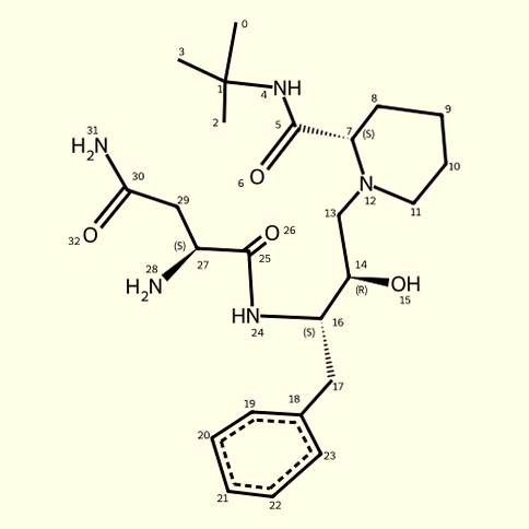 CC(C)(C)NC(=O)[C@@H]1CCCCN1C[C@@H](O)[C@H](Cc1ccccc1)NC(=O)[C@@H](N)CC(N)=O